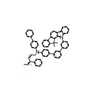 C/C=C(\C=C/CN(c1ccc(-c2ccccc2)cc1)c1ccc(-c2cccc(-c3cccc(-n4c5ccccc5c5ccc6c(c54)C(C)(C)c4ccccc4-6)c3)c2)cc1)c1ccccc1